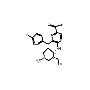 CC[C@H]1CN(C)CC[C@@H]1Nc1ncc(C(=O)O)nc1Cc1ccc(F)cc1